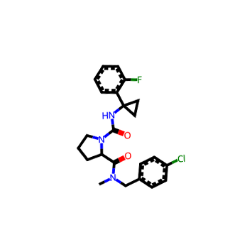 CN(Cc1ccc(Cl)cc1)C(=O)C1CCCN1C(=O)NC1(c2ccccc2F)CC1